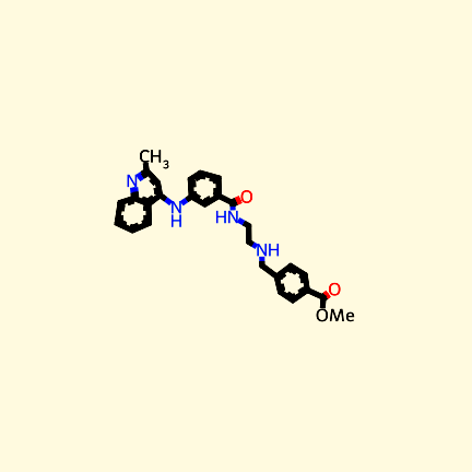 COC(=O)c1ccc(CNCCNC(=O)c2cccc(Nc3cc(C)nc4ccccc34)c2)cc1